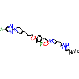 CNCCNCCC1CN(C(=O)Cc2ccc(OCCCC3CCN(c4ncc(Cl)cn4)CC3)cc2F)C1